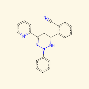 N#Cc1ccccc1C1CC(c2ccccn2)=NN(c2ccccc2)N1